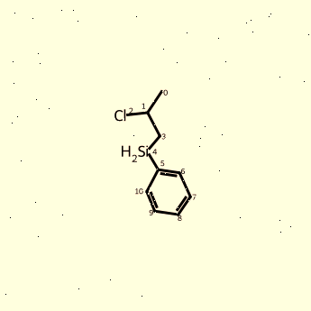 CC(Cl)C[SiH2]c1ccccc1